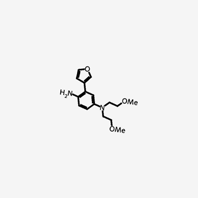 COCCN(CCOC)c1ccc(N)c(-c2ccoc2)c1